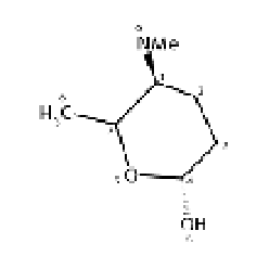 CN[C@H]1CC[C@H](O)OC1C